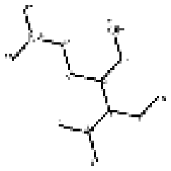 CCC(C(C)C)C(CO)CCN(C)C